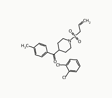 C=CCS(=O)(=O)N1CCC(C(=O)c2ccc(C)cc2)CC1.Clc1ccccc1Cl